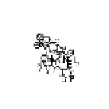 Cn1cccc1-c1cc(-c2ccc(F)cc2F)cc(-n2c(C(N)=O)cc3ccc(NS(C)(=O)=O)cc32)c1